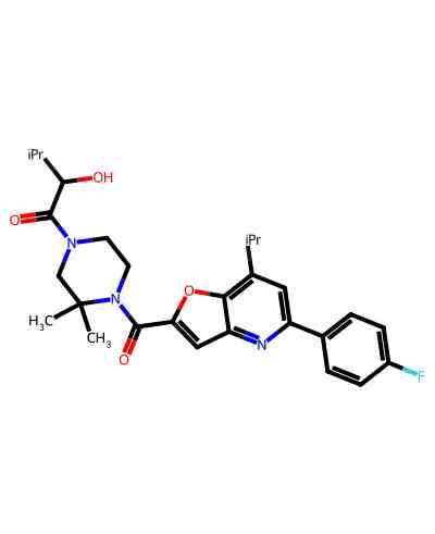 CC(C)c1cc(-c2ccc(F)cc2)nc2cc(C(=O)N3CCN(C(=O)C(O)C(C)C)CC3(C)C)oc12